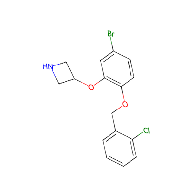 Clc1ccccc1COc1ccc(Br)cc1OC1CNC1